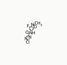 Cc1nc2c(F)cc(NC(=O)c3cnc(Cl)cn3)cc2o1